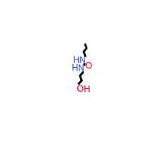 CCCCNC(=O)NCCCCO